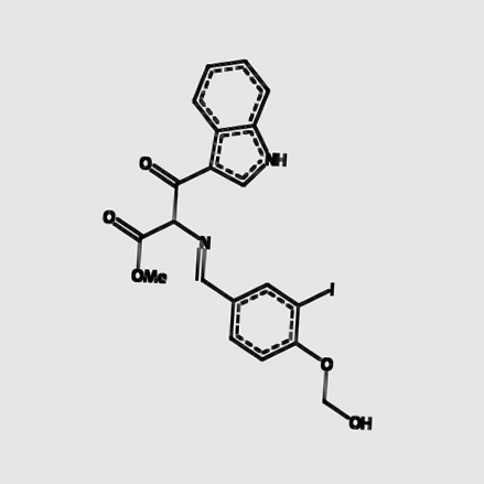 COC(=O)C(/N=C/c1ccc(OCO)c(I)c1)C(=O)c1c[nH]c2ccccc12